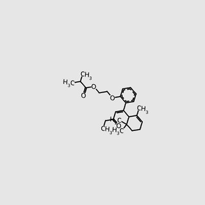 CCC(=O)/C=C(/c1ccccc1OCCOC(=O)C(C)C)C1C(C)=CCCC1(C)C